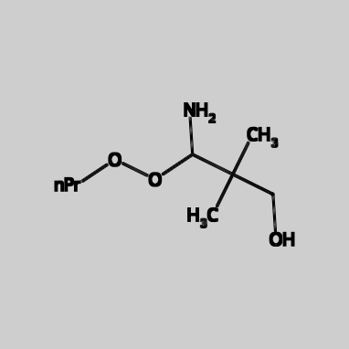 CCCOOC(N)C(C)(C)CO